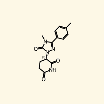 Cc1ccc(-c2nn([C@@H]3CCC(=O)NC3=O)c(=O)n2C)cc1